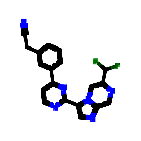 N#CCc1cccc(-c2ccnc(-c3cnc4cnc(C(F)F)cn34)n2)c1